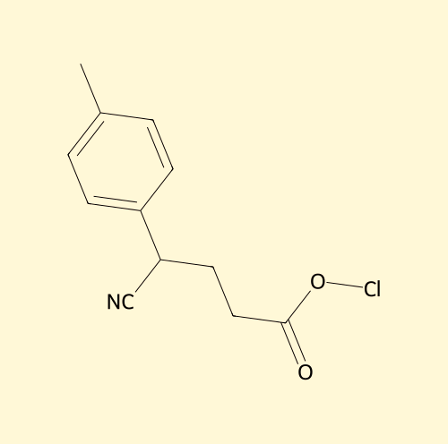 Cc1ccc(C(C#N)CCC(=O)OCl)cc1